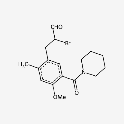 COc1cc(C)c(CC(Br)C=O)cc1C(=O)N1CCCCC1